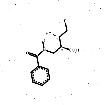 CCN(C[C@H](C(=O)O)[C@H](O)CF)C(=O)c1ccccc1